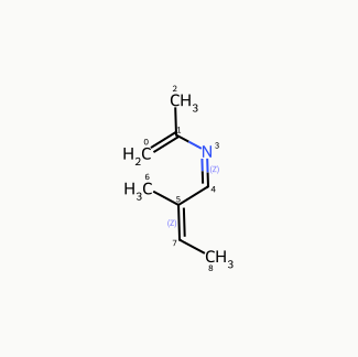 C=C(C)/N=C\C(C)=C/C